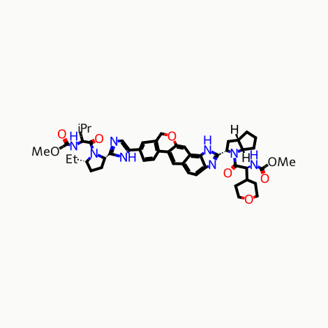 CC[C@H]1CC[C@@H](c2ncc(-c3ccc4c(c3)COc3cc5c(ccc6nc([C@@H]7C[C@@H]8CCC[C@@H]8N7C(=O)[C@@H](NC(=O)OC)C7CCOCC7)[nH]c65)cc3-4)[nH]2)N1C(=O)C(NC(=O)OC)C(C)C